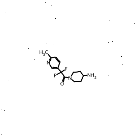 Cc1ccc(C(F)(F)C(=O)N2CCC(N)CC2)cn1